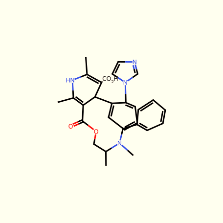 CC1=C(C(=O)O)C(c2ccccc2-n2ccnc2)C(C(=O)OCC(C)N(C)Cc2ccccc2)=C(C)N1